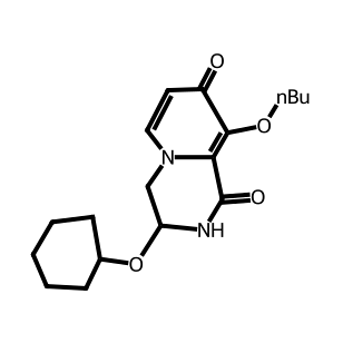 CCCCOc1c2n(ccc1=O)CC(OC1CCCCC1)NC2=O